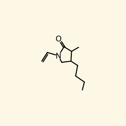 C=CN1CC(CCCC)C(C)C1=O